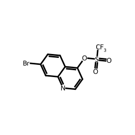 O=S(=O)(Oc1ccnc2cc(Br)ccc12)C(F)(F)F